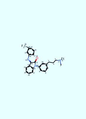 CCN(C)CCCc1cccc(N2C(=O)C(=Nc3cccc(C(F)(F)F)c3)c3ccccc32)c1